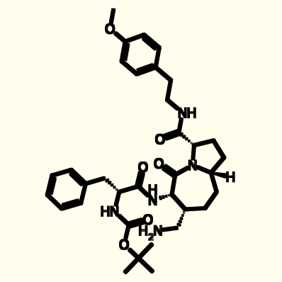 COc1ccc(CCNC(=O)[C@@H]2CC[C@@H]3CC[C@H](CN)[C@H](NC(=O)[C@@H](Cc4ccccc4)NC(=O)OC(C)(C)C)C(=O)N32)cc1